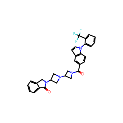 O=C(c1ccc2c(ccn2-c2ccccc2C(F)(F)F)c1)N1CC(N2CC(N3Cc4ccccc4C3=O)C2)C1